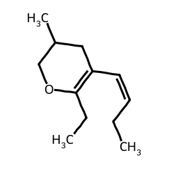 CC/C=C\C1=C(CC)OCC(C)C1